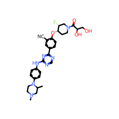 CC1CN(C)CCN1c1ccc(Nc2ncnc(-c3ccc(O[C@H]4CCN(C(=O)C(O)CO)C[C@H]4F)c(C#N)c3)n2)cc1